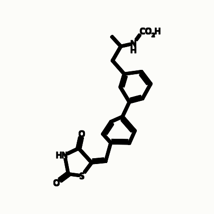 CC(Cc1cccc(-c2ccc(C=C3SC(=O)NC3=O)cc2)c1)NC(=O)O